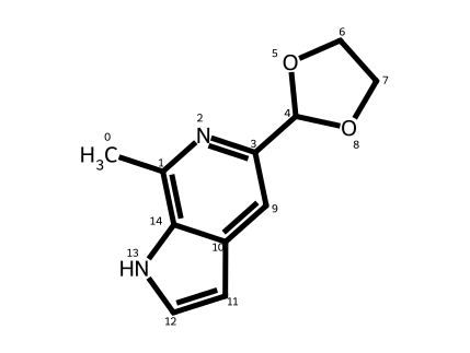 Cc1nc(C2OCCO2)cc2cc[nH]c12